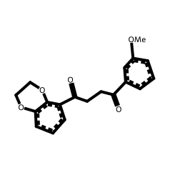 COc1cccc(C(=O)CCC(=O)c2cccc3c2OCCO3)c1